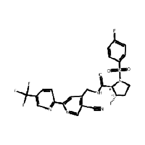 N#Cc1cnc(-c2ccc(C(F)(F)F)cn2)cc1CNC(=O)[C@@H]1[C@@H](F)CCN1S(=O)(=O)c1ccc(F)cc1